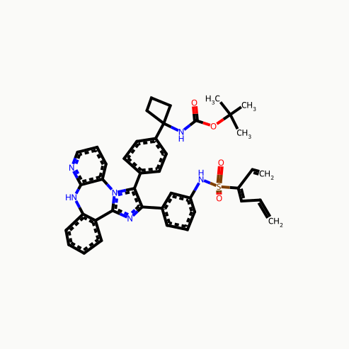 C=C/C=C(\C=C)S(=O)(=O)Nc1cccc(-c2nc3n(c2-c2ccc(C4(NC(=O)OC(C)(C)C)CCC4)cc2)-c2cccnc2Nc2ccccc2-3)c1